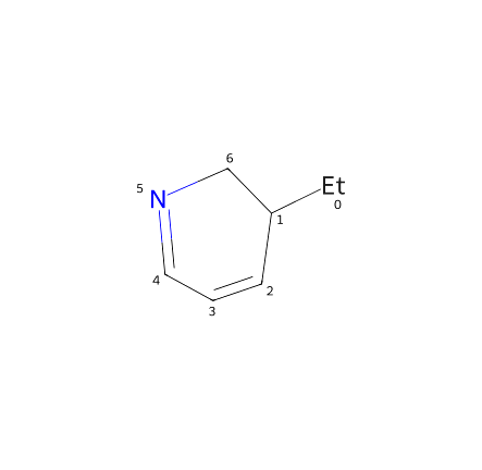 CCC1C=CC=NC1